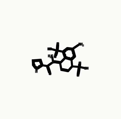 C[N+](C(=O)c1ccc[nH]1)=C1C=CC(S(=O)(=O)O)c2cc(N)cc(S(=O)(=O)O)c21